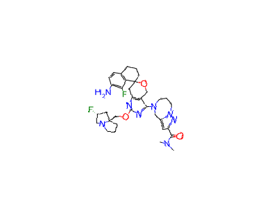 CN(C)C(=O)c1cc2n(n1)CCCN(c1nc(OC[C@@]34CCCN3C[C@H](F)C4)nc3c1COC1(CCCc4ccc(N)c(F)c41)C3)C2